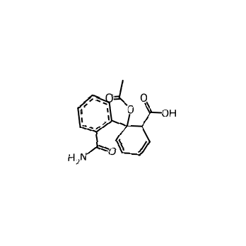 CC(=O)OC1(c2ccccc2C(N)=O)C=CC=CC1C(=O)O